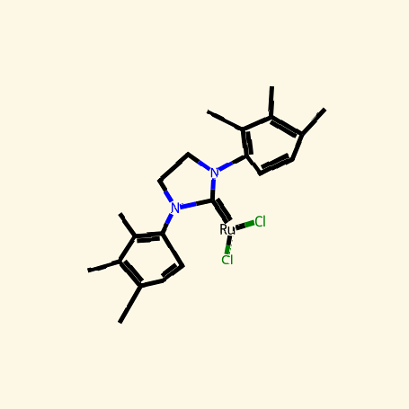 Cc1ccc(N2CCN(c3ccc(C)c(C)c3C)[C]2=[Ru]([Cl])[Cl])c(C)c1C